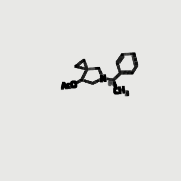 CC(=O)OC1CN([C@H](C)c2ccccc2)CC12CC2